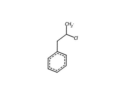 [CH2]C(Cl)Cc1ccccc1